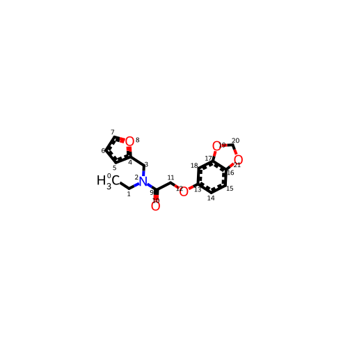 CCN(Cc1ccco1)C(=O)COc1ccc2c(c1)OCO2